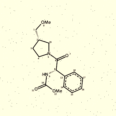 COC[C@H]1CCN(C(=O)[C@@H](NC(=O)OC)c2ccccc2)C1